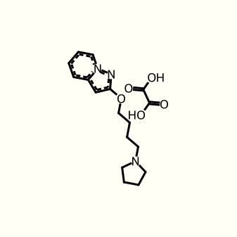 O=C(O)C(=O)O.c1ccn2nc(OCCCCN3CCCC3)cc2c1